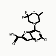 CCCC(=O)c1cc2nc(Cl)nc(N3CC(C)OC(F)(F)C3)c2o1